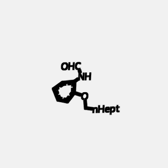 CCCCCCCCOc1ccccc1NC=O